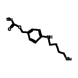 CC(C)(C)CCCCNc1ccc(COC(=O)C(C)(C)C)cc1